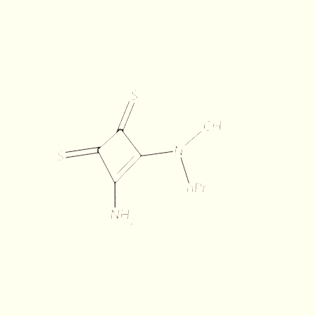 CCCN(C)c1c(N)c(=S)c1=S